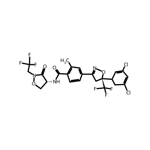 Cc1cc(C2=NO[C@@](C3C=C(Cl)C=C(Cl)C3)(C(F)(F)F)C2)ccc1C(=O)N[C@@H]1CON(CC(F)(F)F)C1=O